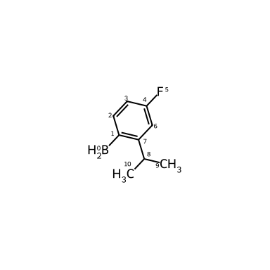 Bc1ccc(F)cc1C(C)C